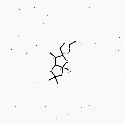 CCC[C@]1(CC)O[C@@H]2OC(C)(C)OC2[C@H]1C